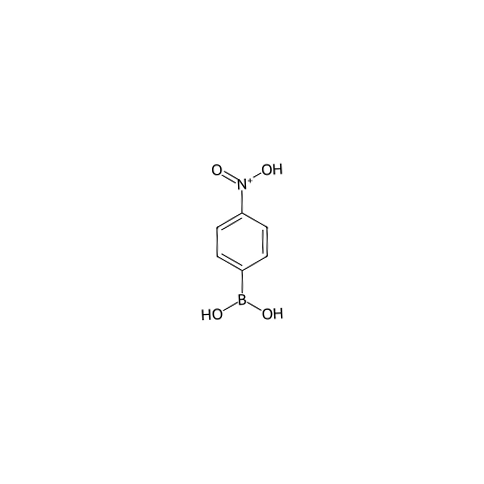 O=[N+](O)c1ccc(B(O)O)cc1